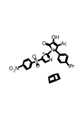 CC(=O)C1=C(O)C(=O)N(c2ncc(S(=O)(=O)c3ccc([N+](=O)[O-])cc3)s2)C1c1ccc(C(C)C)cc1.c1cc2ccc1-2